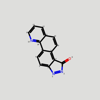 O=C1N=Nc2ccc3c(ccc4cccnc43)c21